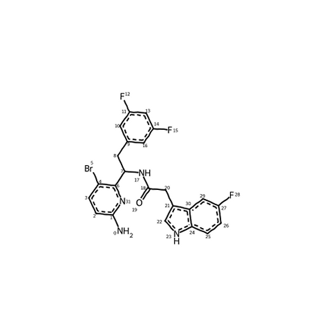 Nc1ccc(Br)c(C(Cc2cc(F)cc(F)c2)NC(=O)Cc2c[nH]c3ccc(F)cc23)n1